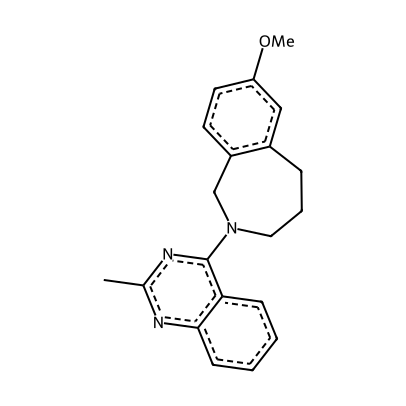 COc1ccc2c(c1)CCCN(c1nc(C)nc3ccccc13)C2